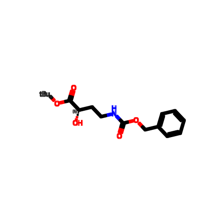 CC(C)(C)OC(=O)[C@@H](O)CCNC(=O)OCc1ccccc1